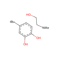 CC(C)(C)c1ccc(O)c(O)c1.CNCCO